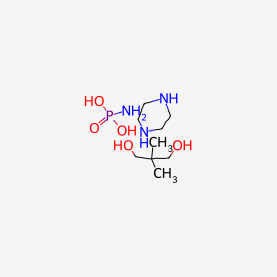 C1CNCCN1.CC(C)(CO)CO.NP(=O)(O)O